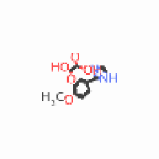 COc1ccc(-c2ncc[nH]2)cc1.O=C(O)C(=O)O